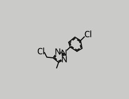 Cc1nn(-c2ccc(Cl)cc2)nc1CCl